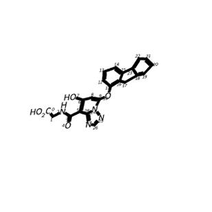 O=C(O)CNC(=O)c1c(O)cc(Oc2cccc3c2Cc2ccccc2-3)n2ncnc12